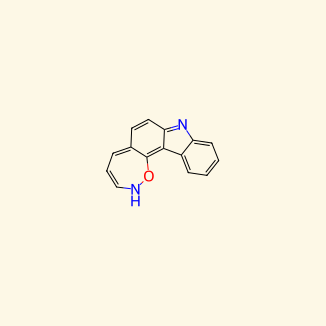 C1=CNOc2c3c(ccc2=C1)=Nc1ccccc1-3